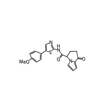 COc1ccc(-c2cnc(NC(=O)C3CCC(=O)c4cccn43)s2)cc1